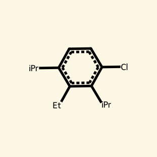 CCc1c(C(C)C)ccc(Cl)c1C(C)C